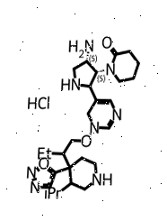 CCC(CON1C=NC=C(C2NC[C@H](N)[C@@H]2N2CCCCC2=O)C1)C1(c2cnno2)CCNCC1C(C)C.Cl